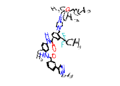 CCCOC(C)(C)CN1CCN(Cc2ccc(C(=O)Nc3ccc(C)c(NC(=O)c4cccc(-c5cnn(C)c5)c4)c3)cc2C(C)(F)F)CC1